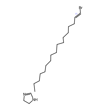 C1=NCCN1.CCCCCCCCCCCCCCC/C=C/Br